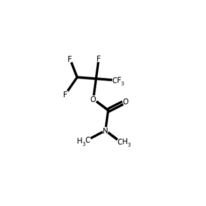 CN(C)C(=O)OC(F)(C(F)F)C(F)(F)F